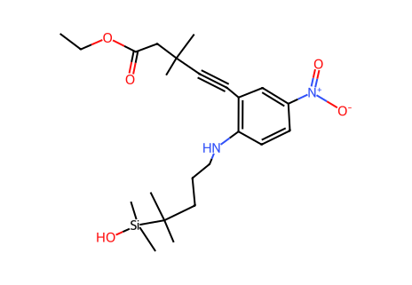 CCOC(=O)CC(C)(C)C#Cc1cc([N+](=O)[O-])ccc1NCCCC(C)(C)[Si](C)(C)O